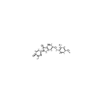 COc1cnc(COc2cnc3c(c2)CN(c2ccc(=O)n(C)n2)C3=O)c(F)c1